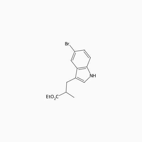 CCOC(=O)C(C)Cc1c[nH]c2ccc(Br)cc12